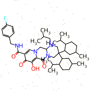 CC(C)CN1CC(C2CC(C)CCC2C(C)C)(C2CC(C)CCC2C(C)C)CN2C(=O)c3c(O)c(=O)c(C(=O)NCc4ccc(F)cc4)cn3CC12